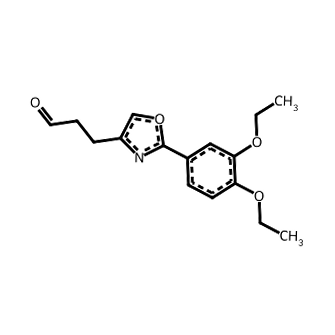 CCOc1ccc(-c2nc(CCC=O)co2)cc1OCC